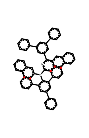 c1ccc(-c2cc(-c3ccccc3)cc(-c3nc(N(c4ccc5ccccc5c4)c4c(-c5ccccc5)cc(-c5ccccc5)cc4-c4ccccc4)nc4cc5ccccc5cc34)c2)cc1